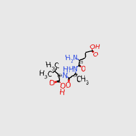 CC(C)[C@H](NC(=O)[C@H](C)NC(=O)[C@@H](N)CCC(=O)O)C(=O)O